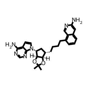 CC1(C)O[C@@H]2[C@@H](CCCCc3cccc4cc(N)ncc34)C[C@@H](n3ccc4c(N)ncnc43)[C@@H]2O1